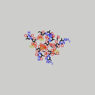 CC[C@H]1O[C@@H](n2cc(C)c(=O)[nH]c2=O)C[C@H]1OP(=O)(S)OC[C@H]1O[C@@H](n2cc(C)c(=O)[nH]c2=O)C[C@H]1OP(=O)(S)OC[C@H]1O[C@@H](n2cc(C)c(=O)[nH]c2=O)C(OCCOC)[C@H]1OP(=O)(O)OC[C@H]1O[C@@H](n2cc(C)c(=O)[nH]c2=O)C(OCCOC)[C@H]1OP(=O)(S)OC[C@H]1O[C@@H](n2cc(C)c(N)nc2=O)C(OCCOC)[C@H]1OP(=O)(S)OC[C@H]1O[C@@H](n2cc(C)c(N)nc2=O)C(OCCOC)[C@H]1O